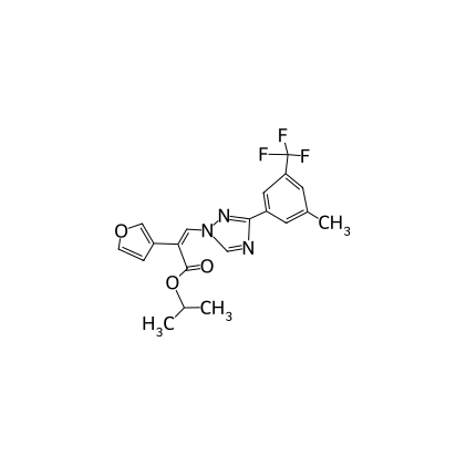 Cc1cc(-c2ncn(/C=C(\C(=O)OC(C)C)c3ccoc3)n2)cc(C(F)(F)F)c1